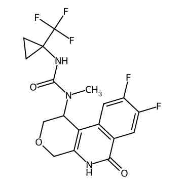 CN(C(=O)NC1(C(F)(F)F)CC1)C1COCc2[nH]c(=O)c3cc(F)c(F)cc3c21